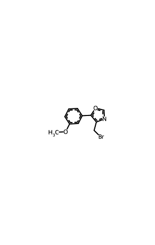 COc1cccc(-c2ocnc2CBr)c1